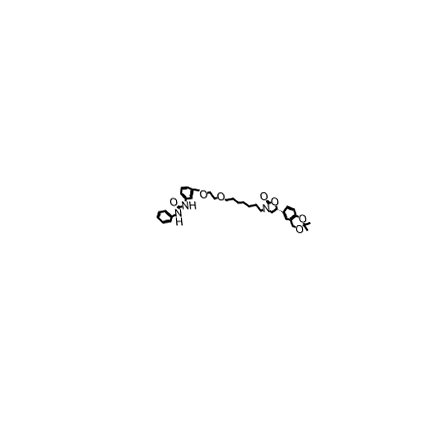 CC1(C)OCc2cc([C@@H]3CN(CCCCCCCOCCOCc4cccc(NC(=O)Nc5ccccc5)c4)C(=O)O3)ccc2O1